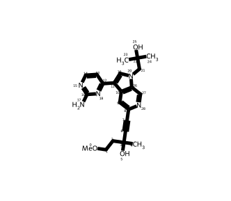 COCCC(C)(O)C#Cc1cc2c(-c3ccnc(N)n3)cn(CC(C)(C)O)c2cn1